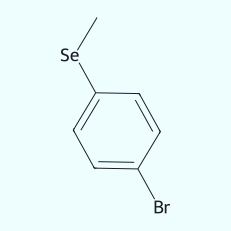 C[Se]c1ccc(Br)cc1